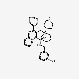 O=C(NCc1cccc(O)c1)c1c(C[N+]2(C3CCNCC3)CCCCC2)c(-c2ccccc2)nc2ccccc12